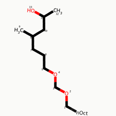 CCCCCCCCCOCOCCCC(C)CC(C)O